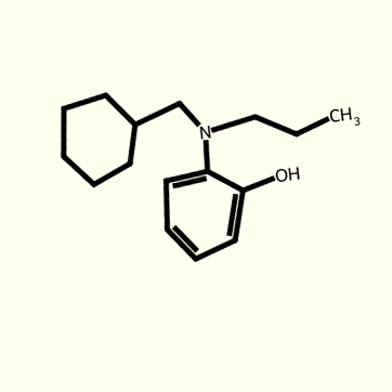 CCCN(CC1CCCCC1)c1ccccc1O